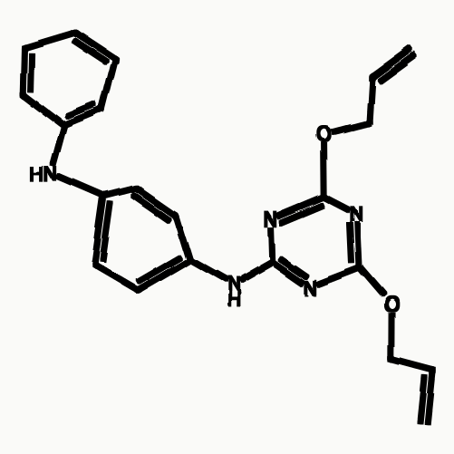 C=CCOc1nc(Nc2ccc(Nc3ccccc3)cc2)nc(OCC=C)n1